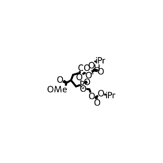 COC(=O)C(CCC(=O)O)CP(=O)(OCOC(=O)OC(C)C)OCOC(=O)OC(C)C